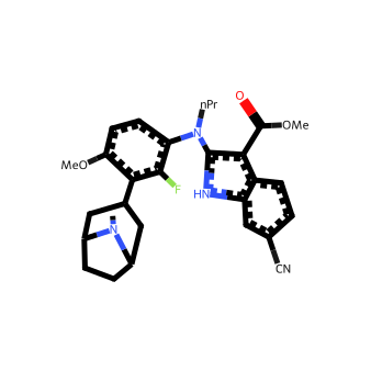 CCCN(c1ccc(OC)c(C2CC3CCC(C2)N3C)c1F)c1[nH]c2cc(C#N)ccc2c1C(=O)OC